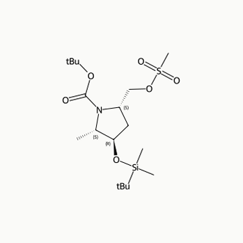 C[C@H]1[C@H](O[Si](C)(C)C(C)(C)C)C[C@@H](COS(C)(=O)=O)N1C(=O)OC(C)(C)C